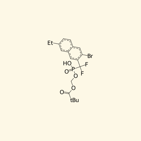 CCc1ccc2cc(Br)c(C(F)(F)P(=O)(O)OCOC(=O)C(C)(C)C)cc2c1